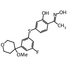 COC1(c2cc(F)cc(Sc3ccc(C(C)=NO)c(O)c3)c2)CCOCC1